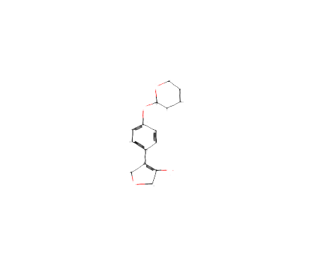 OC1=C(c2ccc(OC3CCCCO3)cc2)COC1